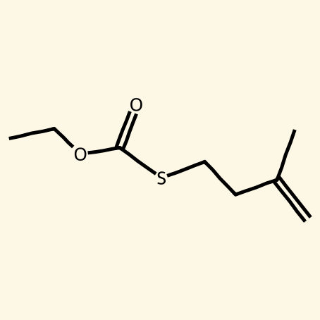 C=C(C)CCSC(=O)OCC